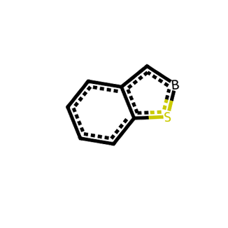 b1cc2ccccc2s1